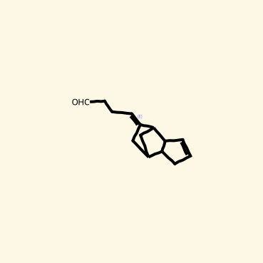 O=CCC/C=C1\CC2CC1C1C=CCC21